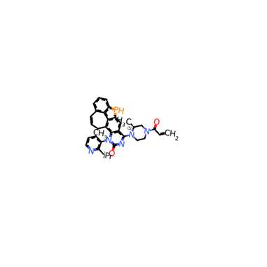 C=CC(=O)N1CCN(c2nc(=O)n(-c3c(C)ccnc3C(C)C)c3c4c5c(cc23)[pH]c2cccc(c25)C=CC4)[C@@H](C)C1